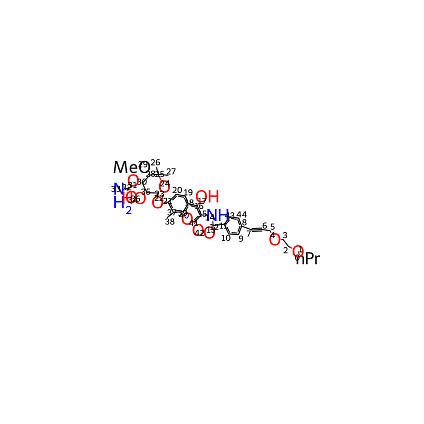 CCCOCCOCC#Cc1ccc(C(=O)Nc2c(O)c3ccc(O[C@@H]4OC(C)(C)[C@H](OC)[C@@H](OC(N)=O)[C@H]4O)c(C)c3oc2=O)cc1